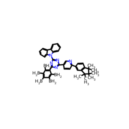 Bc1c(B)c(B)c(-c2nc(-c3ccc(-c4ccc5c(c4)C(C)(C)C(C)(C)C5(C)C)nc3)nc(-n3c4ccccc4c4ccccc43)n2)c(B)c1B